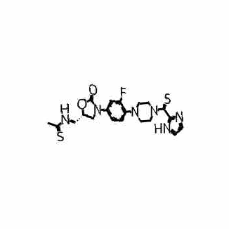 CC(=S)NC[C@H]1CN(c2ccc(N3CCN(C(=S)c4ncc[nH]4)CC3)c(F)c2)C(=O)O1